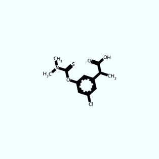 CC(C(=O)O)c1cc(Cl)cc(OC(=S)N(C)C)c1